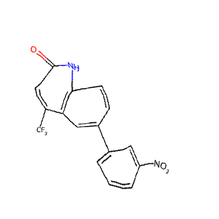 O=c1cc(C(F)(F)F)c2cc(-c3cccc([N+](=O)[O-])c3)ccc2[nH]1